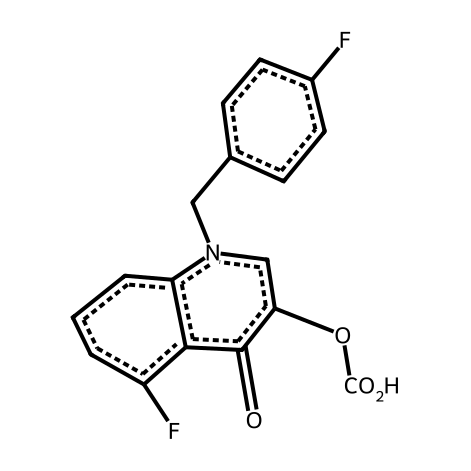 O=C(O)Oc1cn(Cc2ccc(F)cc2)c2cccc(F)c2c1=O